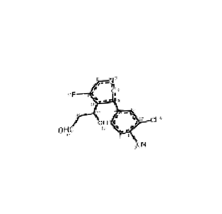 N#Cc1ccc(-c2cncc(F)c2C(O)CC=O)cc1Cl